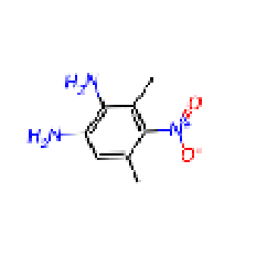 Cc1cc(N)c(N)c(C)c1[N+](=O)[O-]